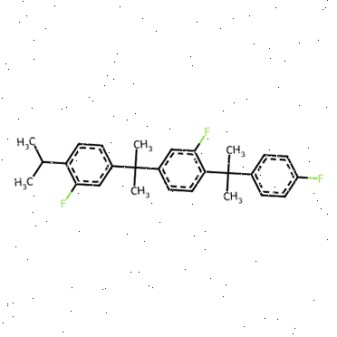 CC(C)c1ccc(C(C)(C)c2ccc(C(C)(C)c3ccc(F)cc3)c(F)c2)cc1F